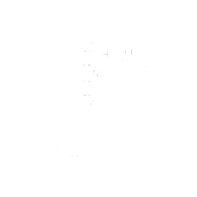 CC1(C)c2ccccc2-c2ccc(N(c3ccc4c(c3)oc3ccccc34)c3ccc4c(c3)oc3cc(-c5ccc6c(c5)Oc5ccccc5O6)ccc34)cc21